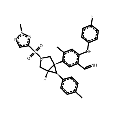 Cc1ccc([C@H]2[C@@H]3CN(S(=O)(=O)c4cnn(C)n4)C[C@@]32c2cc(C=N)c(Nc3ccc(F)cc3)cc2C)cc1